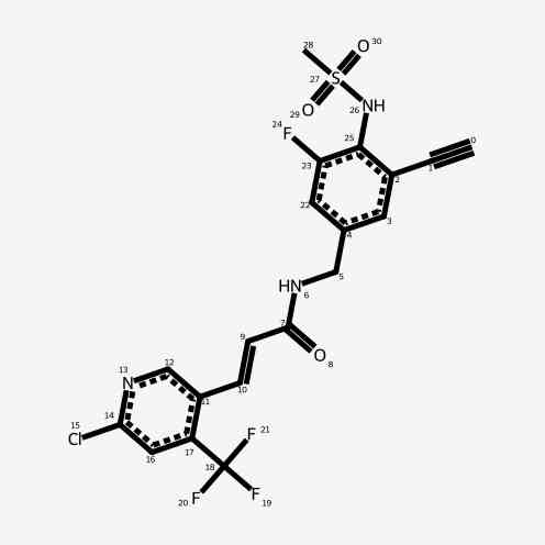 C#Cc1cc(CNC(=O)C=Cc2cnc(Cl)cc2C(F)(F)F)cc(F)c1NS(C)(=O)=O